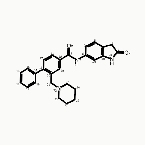 O=C1Cc2ccc(NC(=O)c3ccc(-c4ccccc4)c(CN4CCCCC4)c3)cc2N1